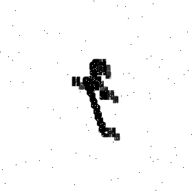 CCCCCCCCCCCCCCCCC(C)C(C)(Cl)CCC[SiH2]OC.N